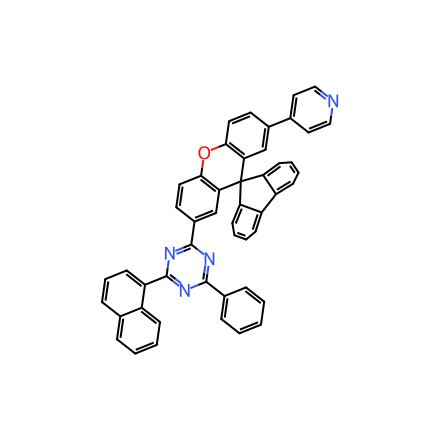 c1ccc(-c2nc(-c3ccc4c(c3)C3(c5cc(-c6ccncc6)ccc5O4)c4ccccc4-c4ccccc43)nc(-c3cccc4ccccc34)n2)cc1